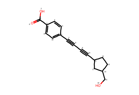 O=C(O)c1ccc(C#CC#CC2CCC(CO)C2)cc1